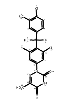 CC(C#N)(c1ccc(Cl)c(C(F)(F)F)c1)c1c(Cl)cc(-n2nc(C(=O)O)c(=O)[nH]c2=O)cc1Cl